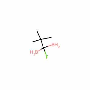 BC(B)(F)C(C)(C)C